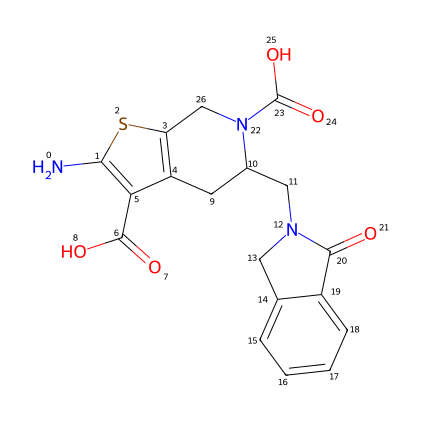 Nc1sc2c(c1C(=O)O)CC(CN1Cc3ccccc3C1=O)N(C(=O)O)C2